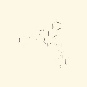 CC(=O)N(CCN1CCOCC1)c1nnc(NCCN2CCOCC2)c2cc3ccccc3cc12